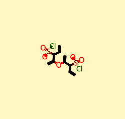 C=CC(C(=C)OC(=C)C(C=C)S(=O)(=O)Cl)S(=O)(=O)Cl